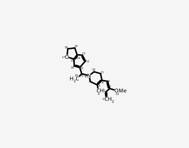 C=C/C(=C\C1=C(C)CN(C(C)c2ccc3c(c2)OCC3)CC1)OC